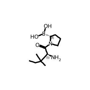 CCC(C)(C)[C@H](N)C(=O)N1CCC[C@H]1B(O)O